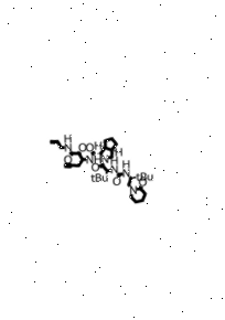 C#CCC(NC(=O)[C@@H]1[C@H]2CCC[C@H]2CN1C(=O)[C@@H](NC(=O)N[C@H](CN1CCCCC1=O)C(C)(C)C)C(C)(C)C)C(=O)C(=O)NCC=C